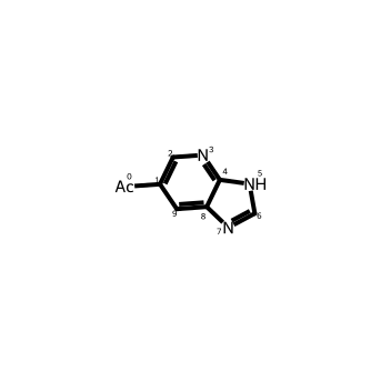 CC(=O)c1cnc2[nH]cnc2c1